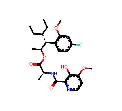 CCC(CC)[C@H](c1ccc(F)cc1OC)[C@H](C)OC(=O)[C@H](C)NC(=O)c1nccc(OC)c1O